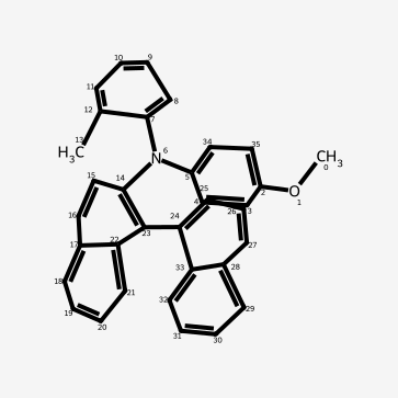 COc1ccc(N(c2ccccc2C)c2ccc3ccccc3c2-c2cccc3ccccc23)cc1